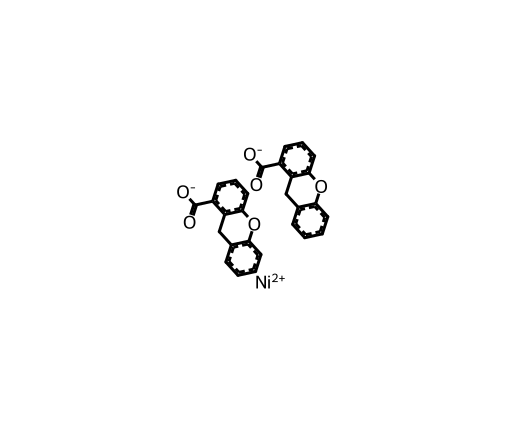 O=C([O-])c1cccc2c1Cc1ccccc1O2.O=C([O-])c1cccc2c1Cc1ccccc1O2.[Ni+2]